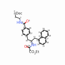 CCCCCCCCCCCCNC(=O)c1ccc(CC(Cc2cccc3ccccc23)NC(=O)C(=O)OCC)cc1